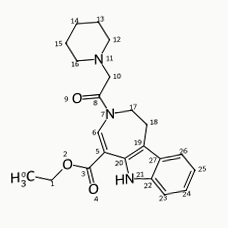 CCOC(=O)C1=CN(C(=O)CN2CCCCC2)CCc2c1[nH]c1ccccc21